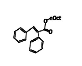 CCCCCCCCOC(=O)C(=Cc1ccccc1)c1ccccc1